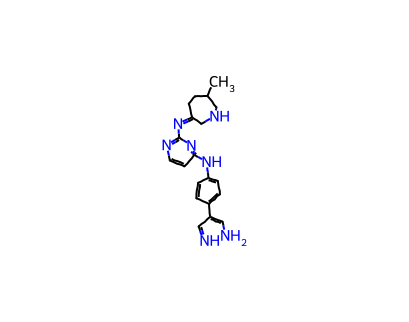 CC1CC/C(=N/c2nccc(Nc3ccc(/C(C=N)=C/N)cc3)n2)CNC1